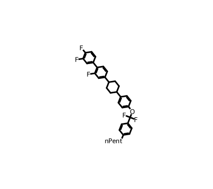 CCCCCc1ccc(C(F)(F)Oc2ccc(C3CCC(c4ccc(-c5ccc(F)c(F)c5)c(F)c4)CC3)cc2)cc1